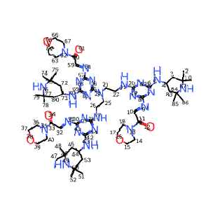 CC1(C)CC(Nc2nc(/N=C/C(=O)N3CCOCC3)nc(NCCN(CCNc3nc(/N=C/C(=O)N4CCOCC4)nc(NC4CC(C)(C)NC(C)(C)C4)n3)c3nc(/N=C/C(=O)N4CCOCC4)nc(NC4CC(C)(C)NC(C)(C)C4)n3)n2)CC(C)(C)N1